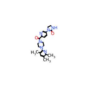 Cc1cc(C)c(N2CCN(C(=O)c3ccc(N4CCNC4=O)cn3)CC2)nc1C